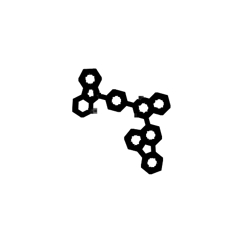 C1=Cc2c(n(-c3ccc(-c4nc(-c5ccc6c7c(cccc57)-c5ccccc5-6)c5ccccc5n4)cc3)c3ccccc23)NC1